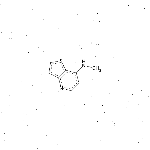 CNc1ccnc2ccsc12